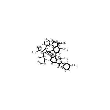 Cc1ccc2oc3c(c2c1)C(C)(C)c1c-3ccc2c1-c1cc(C)c3c(C)cc(C)cc3c1C1(C)C2C12C(C1CCCCC1)C(C(C)C)C2C1CCCCC1